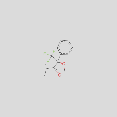 CO[C@](C(=O)C(C)C)(c1ccccc1)C(F)(F)F